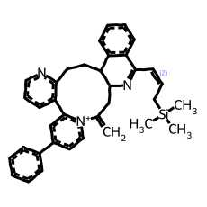 C=C1CC2N=C(/C=C\C[Si](C)(C)C)c3ccccc3C2CCc2ncccc2-c2cc(-c3ccccc3)cc[n+]21